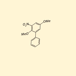 COc1cc(-c2ccccc2)c(OC)c([N+](=O)[O-])c1